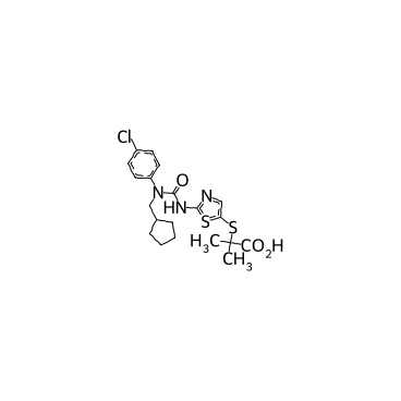 CC(C)(Sc1cnc(NC(=O)N(CC2CCCC2)c2ccc(Cl)cc2)s1)C(=O)O